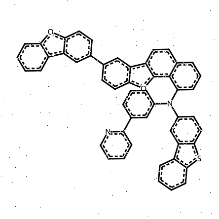 c1ccc(-c2cccc(N(c3ccc4sc5ccccc5c4c3)c3cccc4ccc5c6cc(-c7ccc8oc9ccccc9c8c7)ccc6oc5c34)c2)nc1